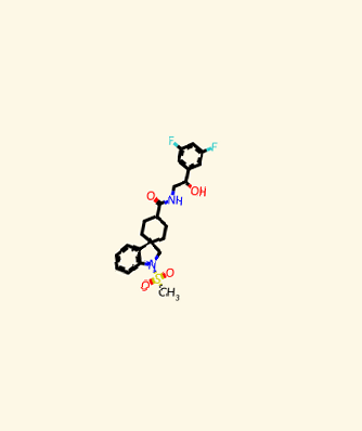 CS(=O)(=O)N1CC2(CCC(C(=O)NCC(O)c3cc(F)cc(F)c3)CC2)c2ccccc21